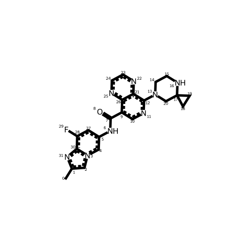 Cc1cn2cc(NC(=O)c3cnc(N4CCNC5(CC5)C4)c4nccnc34)cc(F)c2n1